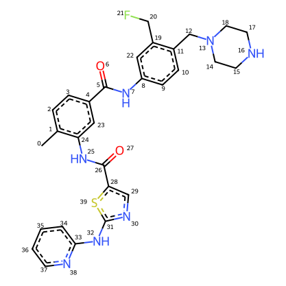 Cc1ccc(C(=O)Nc2ccc(CN3CCNCC3)c(CF)c2)cc1NC(=O)c1cnc(Nc2ccccn2)s1